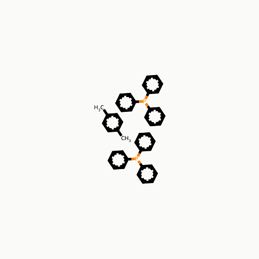 Cc1ccc(C)cc1.c1ccc(P(c2ccccc2)c2ccccc2)cc1.c1ccc(P(c2ccccc2)c2ccccc2)cc1